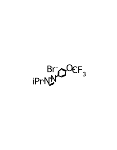 CC(C)[n+]1ccn(-c2ccc(OC(F)(F)F)cc2)c1.[Br-]